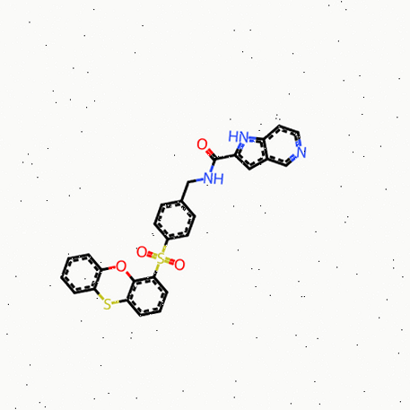 O=C(NCc1ccc(S(=O)(=O)c2cccc3c2Oc2ccccc2S3)cc1)c1cc2cnccc2[nH]1